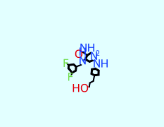 NC(=O)c1cnc(Nc2ccc(CCCO)cc2)cc1NCc1cc(F)cc(F)c1